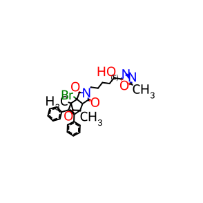 Cc1nnc([C@@H](O)CCCCN2C(=O)C3C4(C)C(=O)C(C)(C(c5ccccc5)=C4c4ccccc4)C3(Br)C2=O)o1